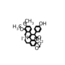 COc1ccc2c(C(C(N)=O)c3ccc(O)cc3)c3[n+](cc2c1OC)CCc1cc2c(cc1-3)OCO2.[I-]